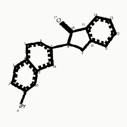 CC(C)c1ccc2ccc(C3Cc4ccccc4C3=O)cc2c1